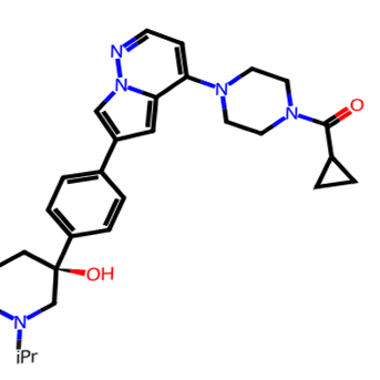 CC(C)N1CCC[C@](O)(c2ccc(-c3cc4c(N5CCN(C(=O)C6CC6)CC5)ccnn4c3)cc2)C1